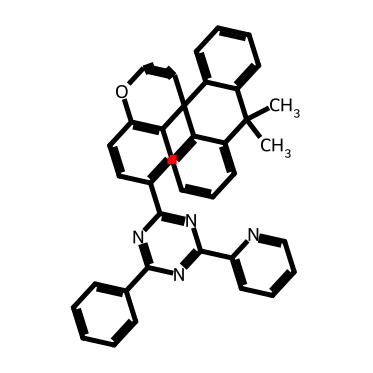 CC1(C)c2ccccc2C2(c3ccccc3Oc3ccc(-c4nc(-c5ccccc5)nc(-c5ccccn5)n4)cc32)c2ccccc21